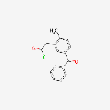 Cc1ccc(C(=O)c2ccccc2)cc1CC(=O)Cl